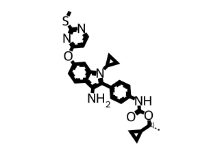 CSc1nccc(Oc2ccc3c(N)c(-c4ccc(NC(=O)O[C@H](C)C5CC5)cc4)n(C4CC4)c3c2)n1